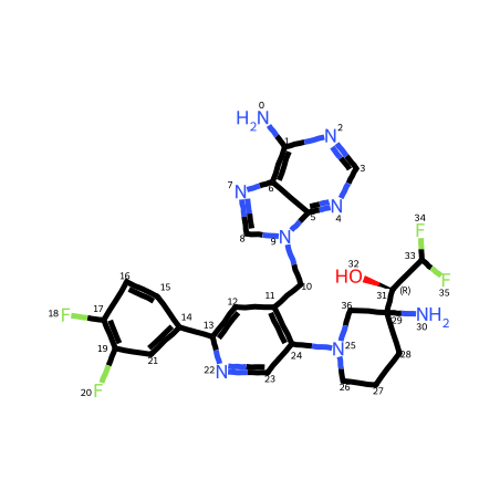 Nc1ncnc2c1ncn2Cc1cc(-c2ccc(F)c(F)c2)ncc1N1CCCC(N)([C@@H](O)C(F)F)C1